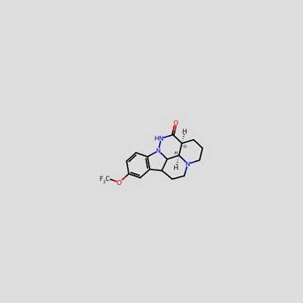 O=C1NN2c3ccc(OC(F)(F)F)cc3C3CCN4CCC[C@H]1[C@@H]4C32